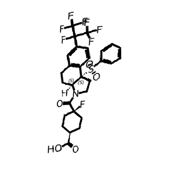 O=C(O)[C@H]1CC[C@](F)(C(=O)N2CC[C@]3(S(=O)(=O)c4ccccc4)c4ccc(C(F)(C(F)(F)F)C(F)(F)F)cc4CC[C@H]23)CC1